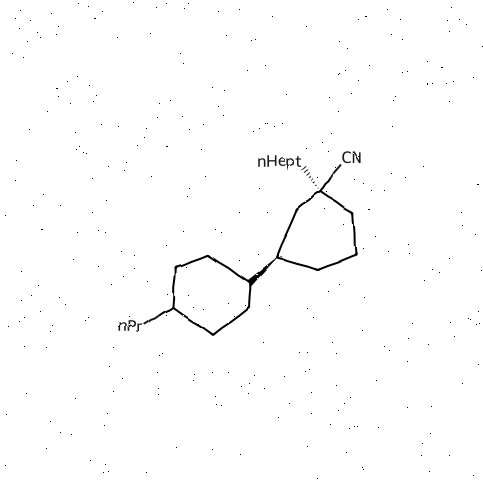 CCCCCCC[C@]1(C#N)CCC[C@@H](C2CCC(CCC)CC2)C1